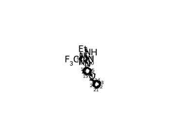 CCNc1nc(C(F)(F)F)nc2c1ncn2-c1cccc(OCc2ccccc2)c1